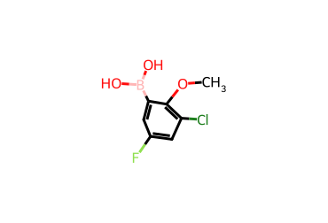 COc1c(Cl)cc(F)cc1B(O)O